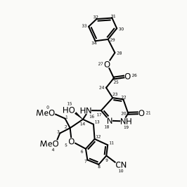 COCC1(COC)Oc2ccc(C#N)cc2C[C@@]1(O)Nc1n[nH]c(=O)cc1CC(=O)OCc1ccccc1